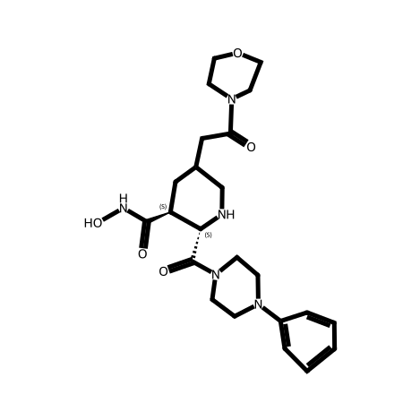 O=C(NO)[C@H]1CC(CC(=O)N2CCOCC2)CN[C@@H]1C(=O)N1CCN(c2ccccc2)CC1